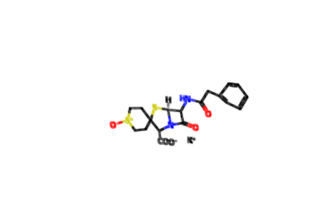 O=C(Cc1ccccc1)NC1C(=O)N2C(C(=O)[O-])C3(CC[S+]([O-])CC3)S[C@@H]12.[K+]